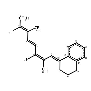 O=C(O)/C(F)=C(/C=C/C(F)=C(\C=C1/CCCc2ccccc21)C(F)(F)F)C(F)(F)F